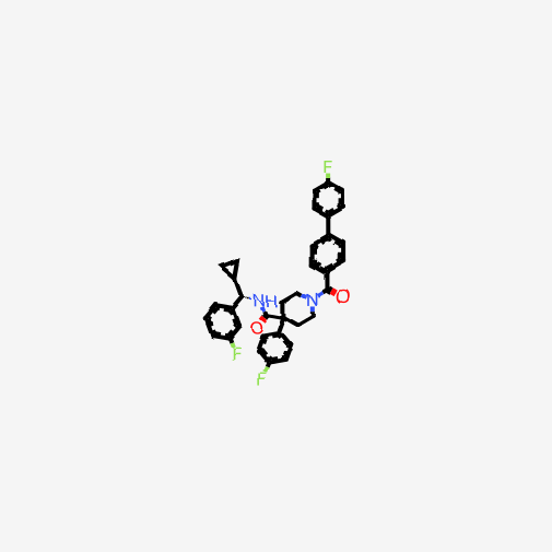 O=C(c1ccc(-c2ccc(F)cc2)cc1)N1CCC(C(=O)N[C@H](c2cccc(F)c2)C2CC2)(c2ccc(F)cc2)CC1